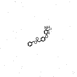 Cc1nc(Oc2ccc(CC(=O)OCc3ccccc3)cc2)ccc1N